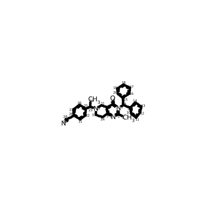 Cc1nc2c(c(=O)n1C(c1ccccc1)c1ccccc1)CN(C(C)c1ccc(C#N)cc1)CC2